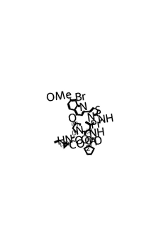 C=C[C@@H]1C[C@]1(NC(=O)[C@@H]1C[C@@H](Oc2cc(-c3csc(NC(C)C)n3)nc3c(Br)c(OC)ccc23)CN1C(=O)[C@@H](NC(=O)OC1CCCC1)C(=C)C)C(=O)O